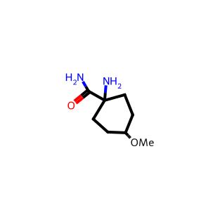 COC1CCC(N)(C(N)=O)CC1